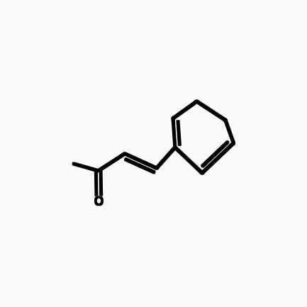 CC(=O)/C=C/C1=CCCC=C1